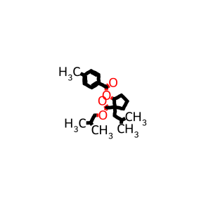 Cc1ccc(C(=O)OC2CCCC2(CC(C)C)C(=O)OCC(C)C)cc1